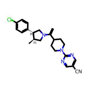 C=C(C1CCN(c2ncc(C#N)cn2)CC1)N1C[C@@H](C)[C@H](c2ccc(Cl)cc2)C1